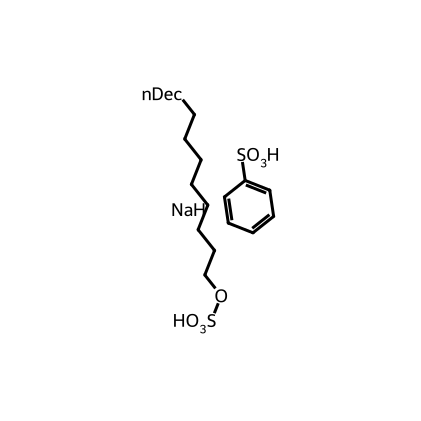 CCCCCCCCCCCCCCCCCCOS(=O)(=O)O.O=S(=O)(O)c1ccccc1.[NaH]